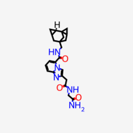 NC(=O)CNC(=O)Cc1cn2c(C(=O)NCC34CC5C[C@@H]5C5(CC5C3)C4)cccc2n1